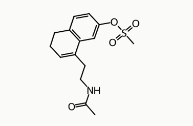 CC(=O)NCCC1=CCCc2ccc(OS(C)(=O)=O)cc21